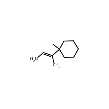 C/C(=C\N)C1(I)CCCCC1